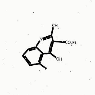 CCOC(=O)c1c(C)nc2cccc(F)c2c1O